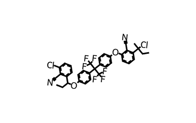 CCC(Oc1ccc(C(c2ccc(Oc3cccc(C(C)(Cl)CC)c3C#N)cc2)(C(F)(F)F)C(F)(F)F)cc1)c1cccc(Cl)c1C#N